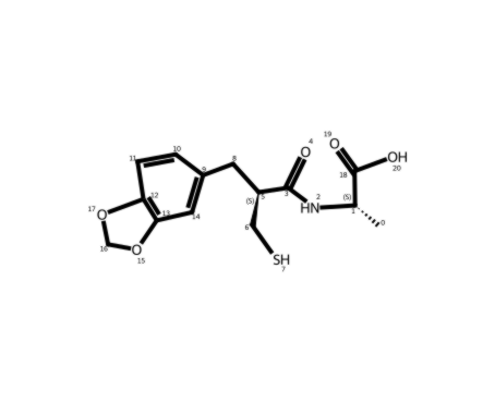 C[C@H](NC(=O)[C@@H](CS)Cc1ccc2c(c1)OCO2)C(=O)O